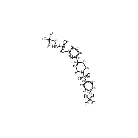 O=C(NCC(F)(F)F)Oc1cccc(C2=CCN(S(=O)(=O)c3ccc(OC(F)(F)F)cc3)CC2)n1